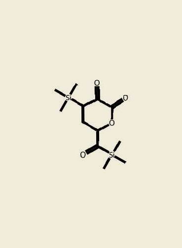 C[Si](C)(C)C(=O)C1CC([Si](C)(C)C)C(=O)C(=O)O1